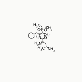 CCP(=O)(OC)C(O)[C@H](CC1CCCCC1)NC(=O)[C@@H](N)CC(C)C